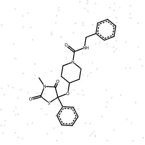 CN1C(=O)SC(OC2CCN(C(=O)NCc3ccccc3)CC2)(c2ccccc2)C1=O